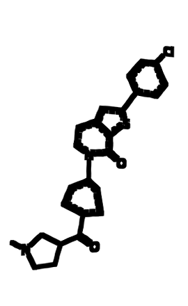 CN1CCC(C(=O)c2ccc(-n3ccc4cc(-c5ccc(Cl)cc5)sc4c3=O)cc2)C1